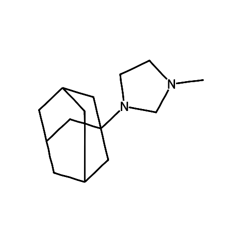 CN1CCN(C23CC4CC(CC(C4)C2)C3)C1